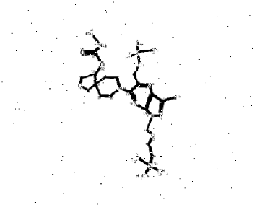 CC(C)[Si](OCc1nc2c(I)nn(COCC[Si](C)(C)C)c2nc1N1CCC2(CC1)COCC2OC(=O)NC(C)(C)C)(C(C)C)C(C)C